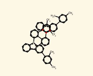 Cc1ccc(-c2ccc3c(c2)c2ccccc2n3-c2cccc(C#N)c2-c2c(-c3cc(C(F)(F)F)cc(C(F)(F)F)c3)cccc2-n2c3ccccc3c3cc(-c4ccc(C)cc4C)ccc32)c(C)c1